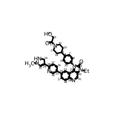 CCn1c(=O)n(-c2ccc(C3CCN(C(=O)CO)CC3)cc2)c2c3cc(-c4ccc(C5=CN(C)NC5)nc4)ccc3ncc21